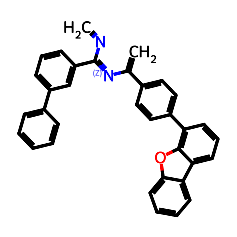 C=N/C(=N\C(=C)c1ccc(-c2cccc3c2oc2ccccc23)cc1)c1cccc(-c2ccccc2)c1